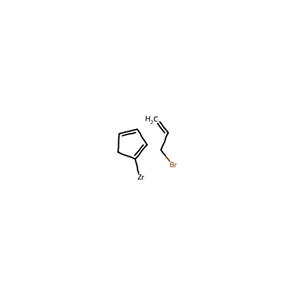 C=CCBr.[Zr][C]1=CC=CC1